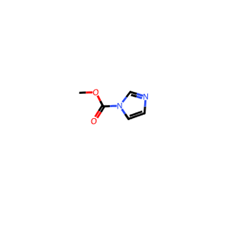 COC(=O)n1ccnc1